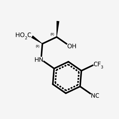 [C-]#[N+]c1ccc(N[C@@H](C(=O)O)[C@@H](C)O)cc1C(F)(F)F